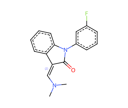 CN(C)/C=C1\C(=O)N(c2cccc(F)c2)c2ccccc21